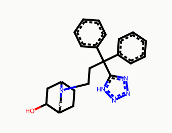 OC1CC2CCC1CN2CCC(c1ccccc1)(c1ccccc1)c1nnn[nH]1